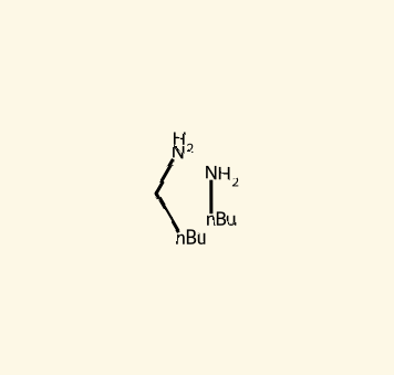 CCCCCN.CCCCN